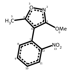 COc1noc(C)c1-c1ccccc1[N+](=O)[O-]